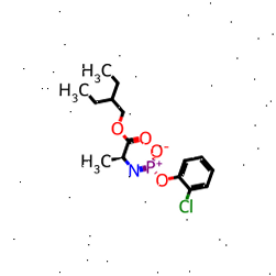 CCC(CC)COC(=O)[C@H](C)/N=[P+](\[O-])Oc1ccccc1Cl